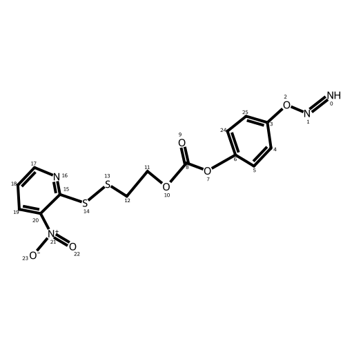 N=NOc1ccc(OC(=O)OCCSSc2ncccc2[N+](=O)[O-])cc1